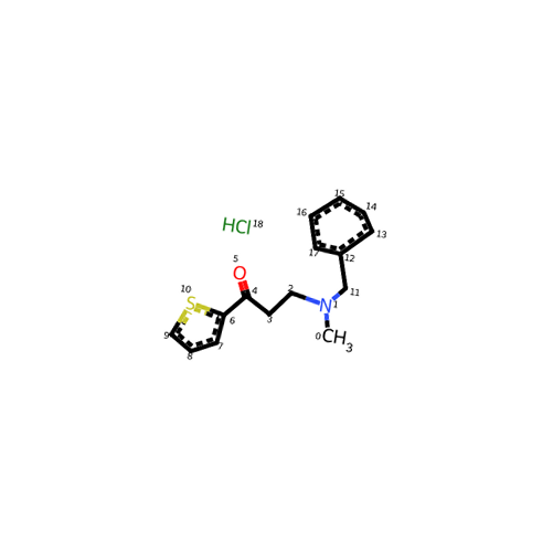 CN(CCC(=O)c1cccs1)Cc1ccccc1.Cl